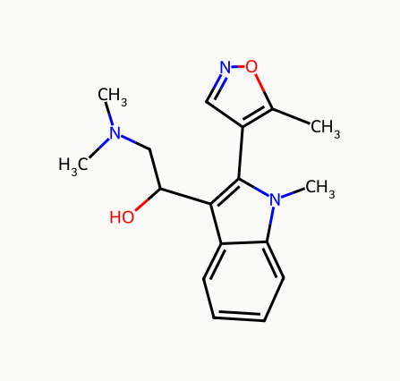 Cc1oncc1-c1c(C(O)CN(C)C)c2ccccc2n1C